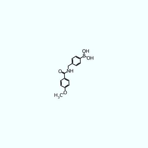 COc1ccc(C(=O)NCc2ccc(B(O)O)cc2)cc1